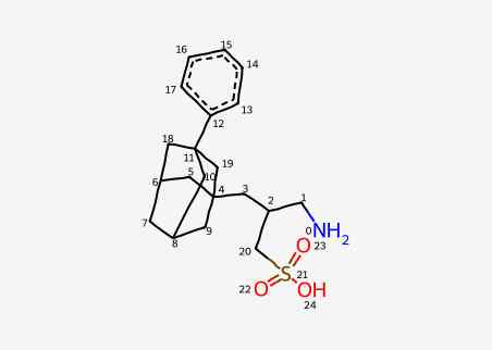 NCC(CC12CC3CC(C1)CC(c1ccccc1)(C3)C2)CS(=O)(=O)O